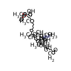 C=C1CCC(=O)C1CCCC(=O)NCCOC(C)(C)CC(C)(O)CC(CC)CC(CC(=O)C(C(C)C)C1CCC(CCCC2CCC(CCCc3cccc(C4C5CCC4CC(c4cc(-c6ccccc6O)ccc4C)C5)c3)C(C)C2)C1)C(C)CC(C)c1ccc(/C(O)=C(C)/C=C\C)cc1